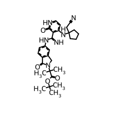 CC(C)(C)OC(=O)C(C)(C)N1Cc2cc(NC(=N)c3c(NC4(CC#N)CCCC4)cc[nH]c3=O)ccc2C1=O